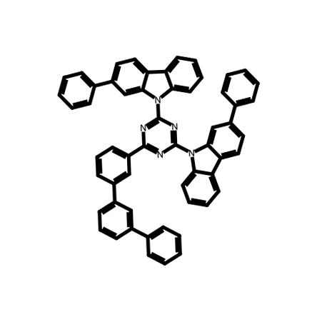 c1ccc(-c2cccc(-c3cccc(-c4nc(-n5c6ccccc6c6ccc(-c7ccccc7)cc65)nc(-n5c6ccccc6c6ccc(-c7ccccc7)cc65)n4)c3)c2)cc1